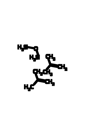 C=C(C)C.C=C(C)C.[SiH3]O[SiH3]